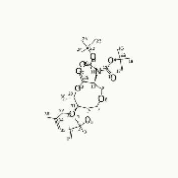 C=CC(C)(C)O[C@H]1COC[C@H](N(C(=O)OC(C)(C)C)C(=O)OC(C)(C)C)C(=O)O[C@@H](C)[C@@H]1OCC(=C)C